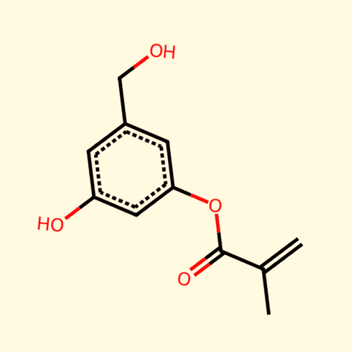 C=C(C)C(=O)Oc1cc(O)cc(CO)c1